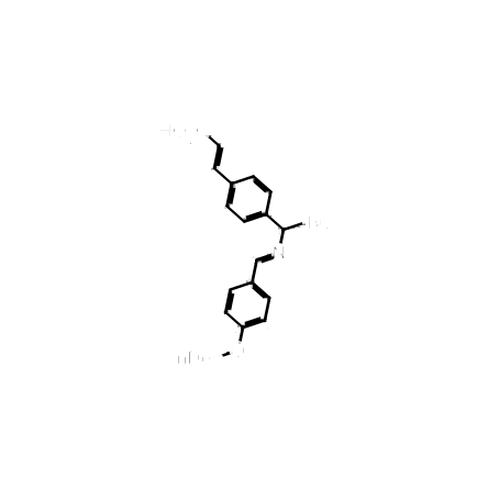 CCCCCCCCCCOc1ccc(C=NC(c2ccc(C=CC(=O)O)cc2)C(C)CC)cc1